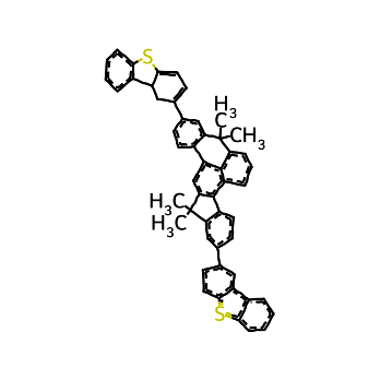 CC1(C)c2cc(-c3ccc4sc5ccccc5c4c3)ccc2-c2c1cc1c3c(cccc23)C(C)(C)c2cc(C3=CC=C4Sc5ccccc5C4C3)ccc2-1